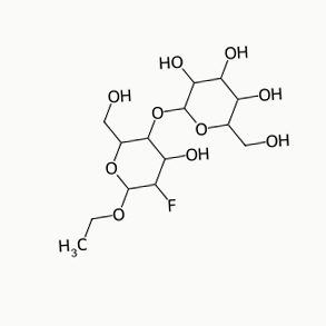 CCOC1OC(CO)C(OC2OC(CO)C(O)C(O)C2O)C(O)C1F